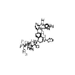 Cc1n[nH]cc1Nc1nccc(-c2ccc3c(c2)CN(C2COC2)CCC3NC(=O)c2nnc(C(C)(C)C(F)F)o2)n1